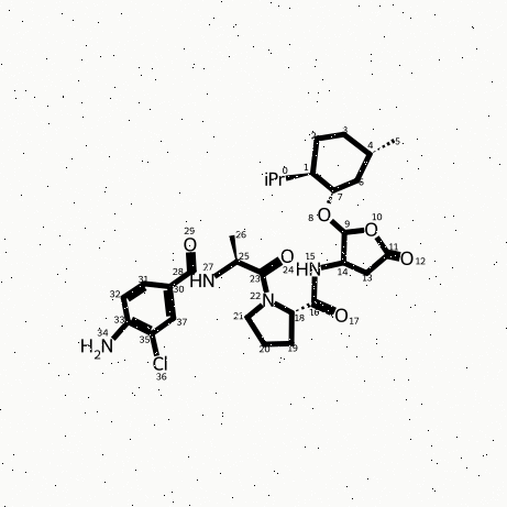 CC(C)[C@H]1CC[C@H](C)C[C@@H]1OC1OC(=O)CC1NC(=O)[C@@H]1CCCN1C(=O)[C@H](C)NC(=O)c1ccc(N)c(Cl)c1